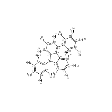 [2H]c1c([2H])c([2H])c(-n2c3c([2H])c([2H])c([2H])c([2H])c3c3c(-c4c([2H])c([2H])c([2H])c(Cl)c4[2H])c([2H])c([2H])c([2H])c32)c([2H])c1[2H]